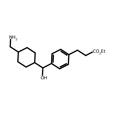 CCOC(=O)CCc1ccc(C(O)C2CCC(CN)CC2)cc1